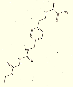 CCOC(=O)CNC(=O)NCc1ccc(CCN[C@@H](C)C(N)=O)cc1